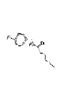 CCCCCC(=O)NCc1ccc(F)cc1